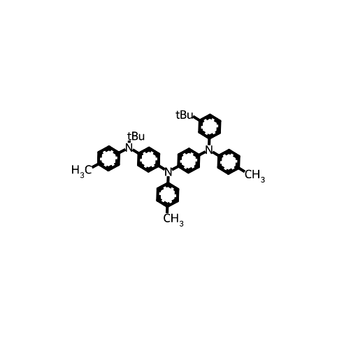 Cc1ccc(N(c2ccc(N(c3ccc(C)cc3)c3cccc(C(C)(C)C)c3)cc2)c2ccc(N(c3ccc(C)cc3)C(C)(C)C)cc2)cc1